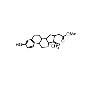 COC(=O)CC1CC2C3CCc4cc(O)ccc4C3CC[C@]2(C)C1=O